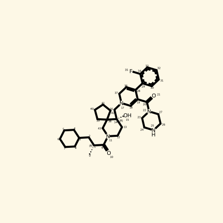 C[C@H](CC1CCCCC1)C(=O)N1CC[C@](O)(CN2C=C(C(=O)N3CCNCC3)C(c3ccccc3F)=CC2)C2(CCCC2)C1